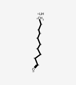 CCCCCCCCCC=O.[LiH]